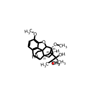 COc1ccc2c3c1OC1C34CCNC(C2)[C@]42CC[C@@]1(OC)[C@@H]([C@](C)(O)C(C)(C)C)C2